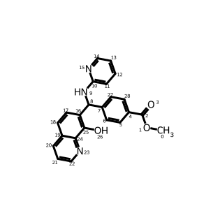 COC(=O)c1ccc(C(Nc2ccccn2)c2ccc3cccnc3c2O)cc1